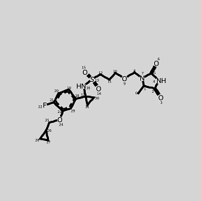 CC1C(=O)NC(=O)N1COCCCS(=O)(=O)NC1(c2ccc(F)c(OCC3CC3)c2)CC1